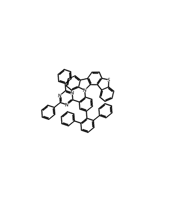 c1ccc(-c2nc(-c3ccccc3)nc(-c3cc(-c4c(-c5ccccc5)cccc4-c4ccccc4)ccc3-n3c4ccccc4c4ccc5sc6ccccc6c5c43)n2)cc1